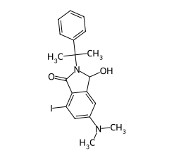 CN(C)c1cc(I)c2c(c1)C(O)N(C(C)(C)c1ccccc1)C2=O